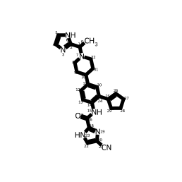 CC(c1ncc[nH]1)N1CCC(c2ccc(NC(=O)c3nc(C#N)c[nH]3)c(C3=CCCC3)c2)CC1